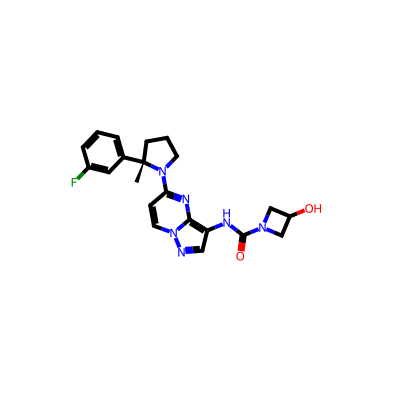 C[C@@]1(c2cccc(F)c2)CCCN1c1ccn2ncc(NC(=O)N3CC(O)C3)c2n1